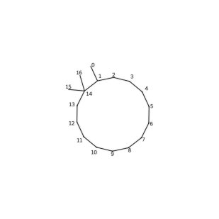 CC1CCCCCCCCCCCCC1(C)C